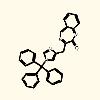 O=c1nc2ccccc2cnc1Cc1cn(C(c2ccccc2)(c2ccccc2)c2ccccc2)cn1